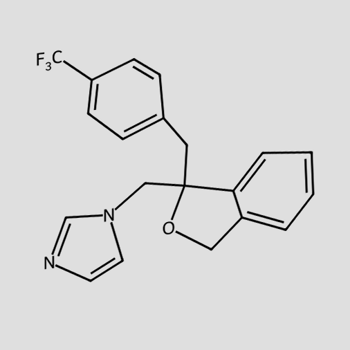 FC(F)(F)c1ccc(CC2(Cn3ccnc3)OCc3ccccc32)cc1